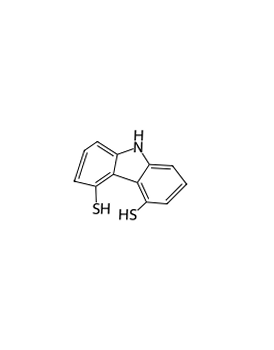 Sc1cccc2[nH]c3cccc(S)c3c12